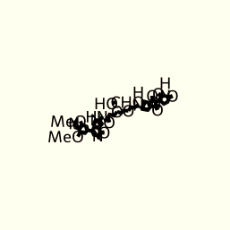 COc1cc(-c2cn(C)c(=O)c3cc(NC(=O)CCOCCOCCNc4ccc5c(c4)C(=O)N(C4CCC(=O)NC4=O)C5=O)ncc23)cc(OC)c1CN(C)C.O=CO